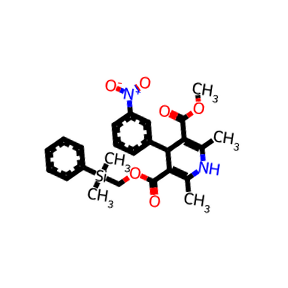 COC(=O)C1=C(C)NC(C)=C(C(=O)OC[Si](C)(C)c2ccccc2)C1c1cccc([N+](=O)[O-])c1